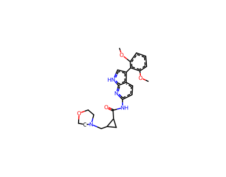 COc1cccc(OC)c1-c1c[nH]c2nc(NC(=O)C3CC3CN3CCOCC3)ccc12